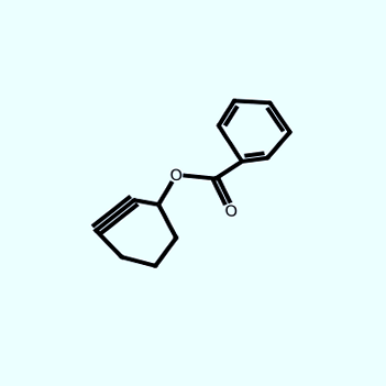 O=C(OC1C#CCCC1)c1ccccc1